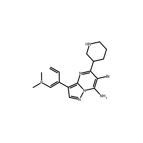 C=C/C(=C\N(C)C)c1cnn2c(N)c(Br)c(C3CCCNC3)nc12